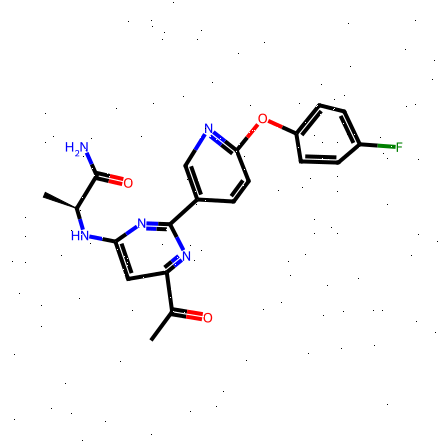 CC(=O)c1cc(N[C@@H](C)C(N)=O)nc(-c2ccc(Oc3ccc(F)cc3)nc2)n1